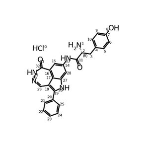 Cl.N[C@H](Cc1ccc(O)cc1)C(=O)Nc1cc2c3c(c(-c4ccccc4)[nH]c3c1)C=NNC2=O